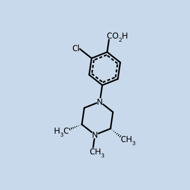 C[C@@H]1CN(c2ccc(C(=O)O)c(Cl)c2)C[C@H](C)N1C